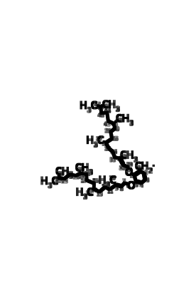 [CH2]c1cccc(OC/C=C(\C)CCC[C@H](C)CCC[C@H](C)CCCC(C)C)c1OC/C=C(\C)CCC[C@H](C)CCC[C@H](C)CCCC(C)C